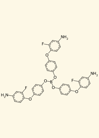 Nc1ccc(Oc2ccc(OB(Oc3ccc(Oc4ccc(N)cc4F)cc3)Oc3ccc(Oc4ccc(N)cc4F)cc3)cc2)c(F)c1